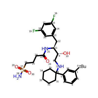 CC(C)(C)c1cccc(C2(NC[C@@H](O)[C@H](Cc3cc(F)cc(F)c3)NC(=O)CCCS(N)(=O)=O)CCCCC2)c1